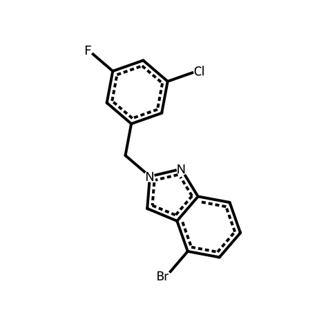 Fc1cc(Cl)cc(Cn2cc3c(Br)cccc3n2)c1